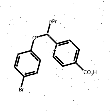 CCCC(Oc1ccc(Br)cc1)c1ccc(C(=O)O)cc1